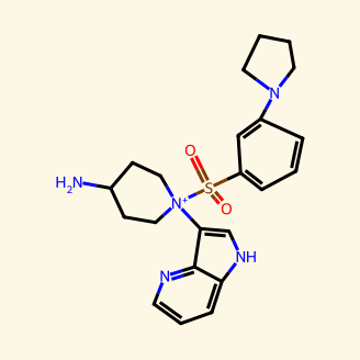 NC1CC[N+](c2c[nH]c3cccnc23)(S(=O)(=O)c2cccc(N3CCCC3)c2)CC1